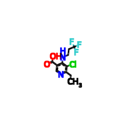 CCc1ncc(C(=O)O)c(NCCC(F)(F)F)c1Cl